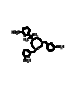 CC(C)(c1cccc(C(=O)O)n1)N1CCN(Cc2cccc(C(=O)O)n2)CCN(Cc2cccc(C(=O)O)n2)CC1